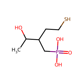 CC(O)C(CCS)CP(=O)(O)O